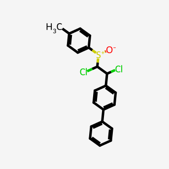 Cc1ccc([S+]([O-])C(Cl)C(Cl)c2ccc(-c3ccccc3)cc2)cc1